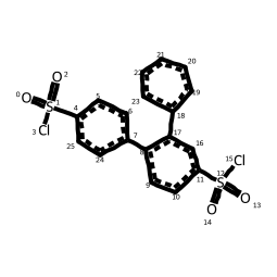 O=S(=O)(Cl)c1ccc(-c2ccc(S(=O)(=O)Cl)cc2-c2ccccc2)cc1